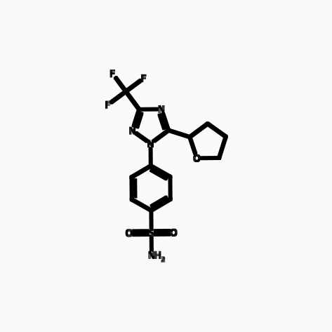 NS(=O)(=O)c1ccc(-n2nc(C(F)(F)F)nc2C2CCCO2)cc1